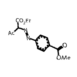 [CH2]COC(=O)C(N=Nc1ccc(C(=O)OC)cc1)C(C)=O